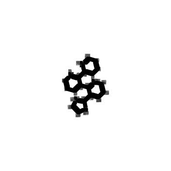 c1ccc(-c2ncccc2-c2ncccc2-c2nccs2)nc1